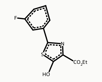 CCOC(=O)c1nc(-c2cccc(F)c2)sc1O